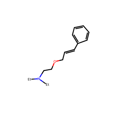 CCN(CC)CCOCC=Cc1ccccc1